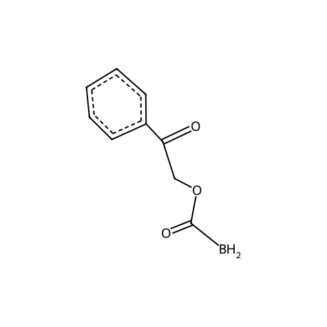 BC(=O)OCC(=O)c1ccccc1